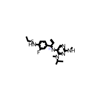 C=C/C(=N\c1cnc(NC)nc1N(C)C(C)C)c1ccc(NSCC)c(F)c1